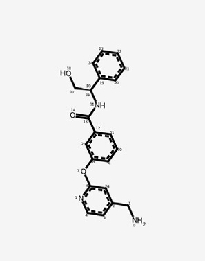 NCc1ccnc(Oc2cccc(C(=O)N[C@@H](CO)c3ccccc3)c2)c1